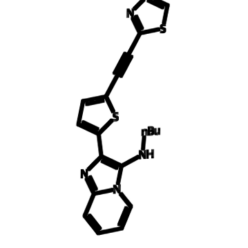 CCCCNc1c(-c2ccc(C#Cc3nccs3)s2)nc2ccccn12